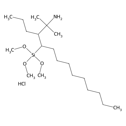 CCCCCCCCCC(C(CCC)C(C)(C)N)[Si](OC)(OC)OC.Cl